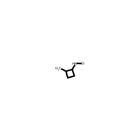 CCNC1CCC1C